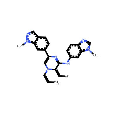 C/C=C\N1C=C(c2ccc3cnn(C)c3c2)N=C(Nc2ccc3ncn(C)c3c2)/C1=C\CCC